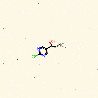 O=[N+]([O-])CC(O)c1cnc(Cl)nc1